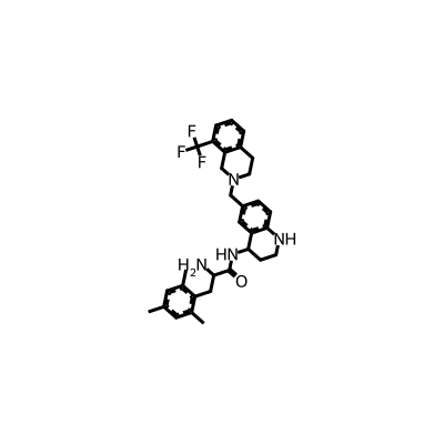 Cc1cc(C)c(CC(N)C(=O)NC2CCNc3ccc(CN4CCc5cccc(C(F)(F)F)c5C4)cc32)c(C)c1